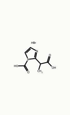 Br.CC(C(=O)O)c1nccn1C(=O)O